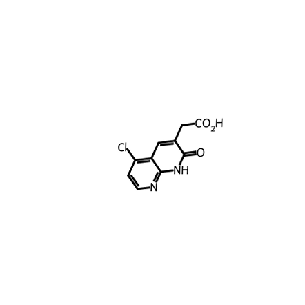 O=C(O)Cc1cc2c(Cl)ccnc2[nH]c1=O